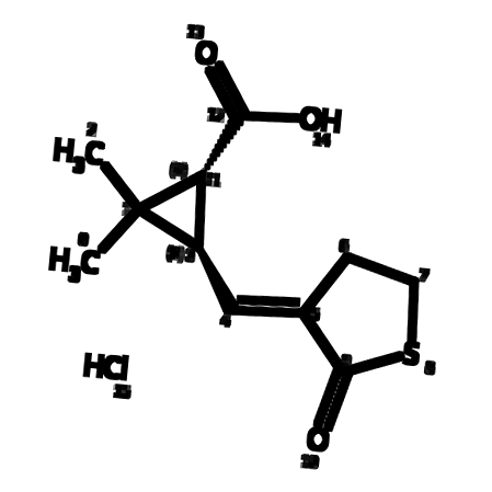 CC1(C)[C@H](C=C2CCSC2=O)[C@H]1C(=O)O.Cl